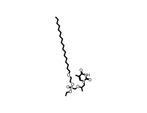 CCCCCCCCCCCCCCCCCCOCCOP(=O)(COC(C)Cn1cc(C)c(=O)[nH]c1=O)OCC